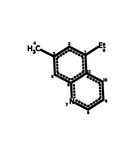 CCc1cc(C)cc2ncccc12